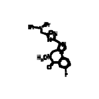 CC(C)N(Cc1nc(-c2ncn3c2CN(C)C(=O)c2cc(F)ccc2-3)no1)C(C)C